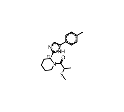 CSC(C)C(=O)N1CCCC[C@H]1c1ncc(-c2ccc(C)cc2)[nH]1